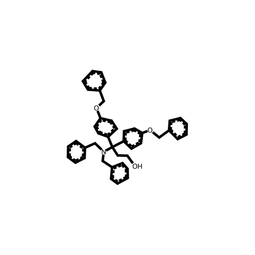 OCCC(c1ccc(OCc2ccccc2)cc1)(c1ccc(OCc2ccccc2)cc1)N(Cc1ccccc1)Cc1ccccc1